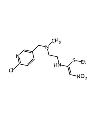 CCSC(=C[N+](=O)[O-])NCCN(C)Cc1ccc(Cl)nc1